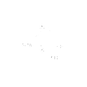 CC(=O)Nc1cc([N+](=O)[O-])cc2c(C)c(C)oc12